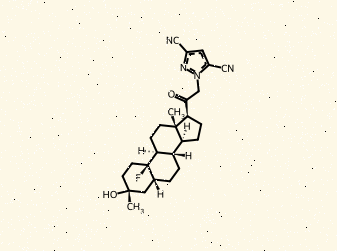 C[C@@]1(O)CC[C@@]2(F)[C@H](CC[C@H]3[C@@H]4CC[C@H](C(=O)Cn5nc(C#N)cc5C#N)[C@@]4(C)CC[C@@H]32)C1